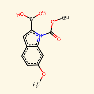 CC(C)(C)OC(=O)n1c(B(O)O)cc2ccc(OC(F)(F)F)cc21